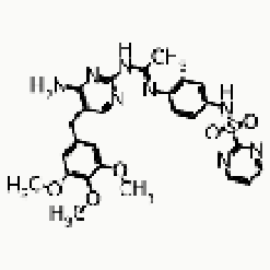 COc1cc(Cc2cnc(NC(C)=Nc3ccc(NS(=O)(=O)c4ncccn4)cc3)nc2N)cc(OC)c1OC